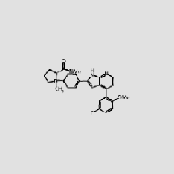 CNC(=O)[C@@H]1CCC[N+]1(C)C1CC=C(c2cc3c(-c4cc(F)ccc4OC)ccnc3[nH]2)CC1